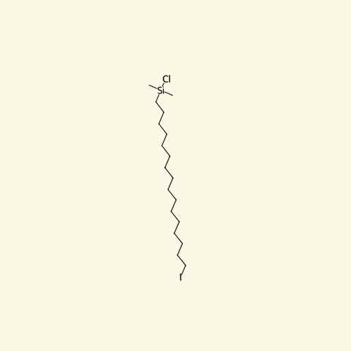 C[Si](C)(Cl)CCCCCCCCCCCCCCCCI